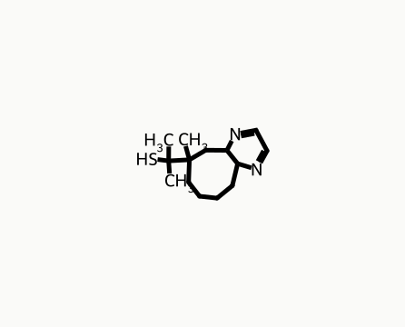 CC(C)(S)C1(C)CCCCC2N=CC=NC2C1